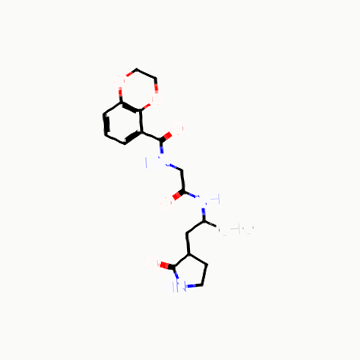 O=CC(CC1CCNC1=O)NC(=O)CNC(=O)c1cccc2c1OCCO2